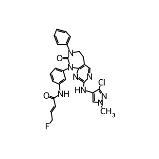 Cn1cc(Nc2ncc3c(n2)N(c2cccc(NC(=O)/C=C/CF)c2)C(=O)N(c2ccccc2)CC3)c(Cl)n1